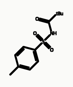 Cc1ccc(S(=O)(=O)NC(=O)C(C)(C)C)cc1